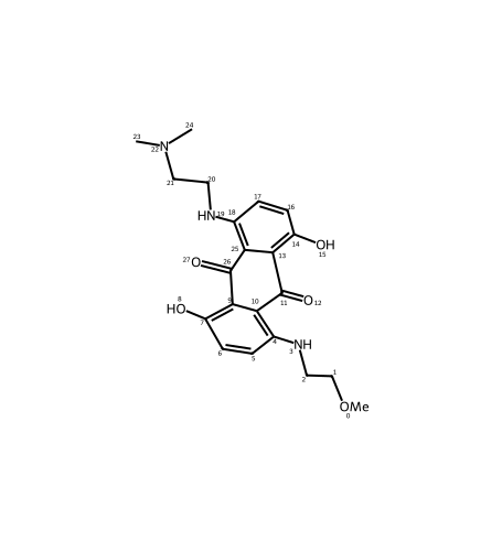 COCCNc1ccc(O)c2c1C(=O)c1c(O)ccc(NCCN(C)C)c1C2=O